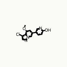 COc1cc(-c2ccc(O)nc2)cn2ncc(Cl)c12